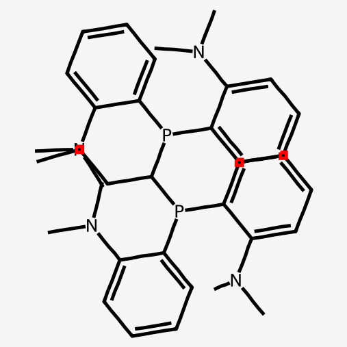 CCCC(P(c1ccccc1N(C)C)c1ccccc1N(C)C)P(c1ccccc1N(C)C)c1ccccc1N(C)C